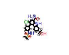 C=C(C)S(=O)(=O)Nc1cccc(-c2c(Cl)cc(C(N)=O)c3[nH]c4c(c23)CC[C@@H](C(C)(C)O)C4)c1